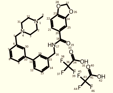 CN1CCN(Cc2cccc(-c3cccc(CNC(=O)c4ccc5c(c4)OCO5)c3)c2)CC1.O=C(O)C(F)(F)F.O=C(O)C(F)(F)F